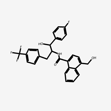 O=C(NC(Cc1ccc(C(F)(F)F)cc1)C(O)c1ccc(F)cc1)c1ccc(CO)c2ccccc12